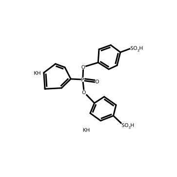 O=P(Oc1ccc(S(=O)(=O)O)cc1)(Oc1ccc(S(=O)(=O)O)cc1)c1ccccc1.[KH].[KH]